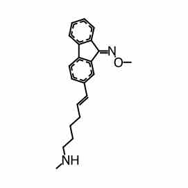 CNCCCC/C=C/c1ccc2c(c1)/C(=N\OC)c1ccccc1-2